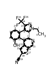 CCn1cc(-c2cccc(O)c2-c2cncc3sc(C#N)cc23)c(C(F)(F)F)n1